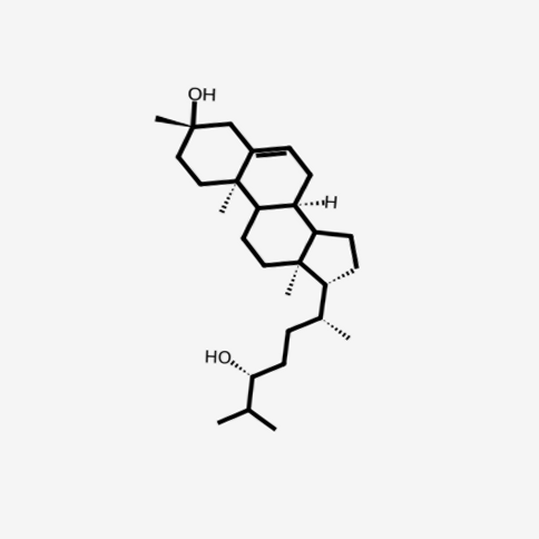 CC(C)[C@H](O)CC[C@@H](C)[C@H]1CCC2[C@@H]3CC=C4C[C@@](C)(O)CC[C@]4(C)C3CC[C@@]21C